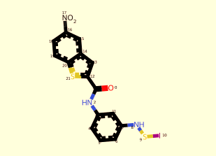 O=C(Nc1cccc(NSI)c1)c1cc2cc([N+](=O)[O-])ccc2s1